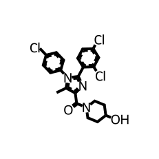 Cc1c(C(=O)N2CCC(O)CC2)nc(-c2ccc(Cl)cc2Cl)n1-c1ccc(Cl)cc1